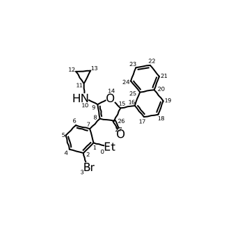 CCc1c(Br)cccc1C1=C(NC2CC2)OC(c2cccc3ccccc23)C1=O